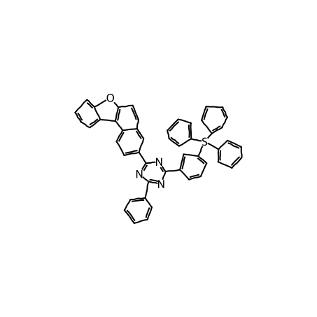 c1ccc(-c2nc(-c3cccc(S(c4ccccc4)(c4ccccc4)c4ccccc4)c3)nc(-c3ccc4c(ccc5oc6ccccc6c54)c3)n2)cc1